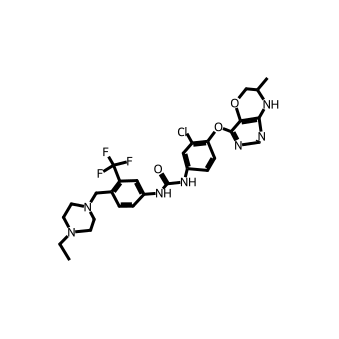 CCN1CCN(Cc2ccc(NC(=O)Nc3ccc(Oc4ncnc5c4OCC(C)N5)c(Cl)c3)cc2C(F)(F)F)CC1